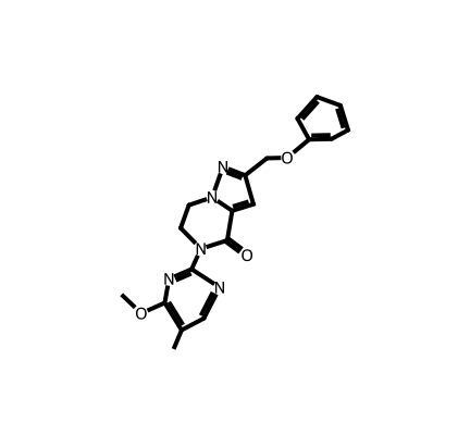 COc1nc(N2CCn3nc(COc4ccccc4)cc3C2=O)ncc1C